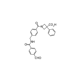 O=Cc1ccc(C(=O)NCc2ccc(C(=O)N3CC(C(=O)O)(c4ccccc4)C3)cc2)cc1